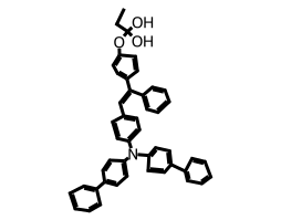 CCC(O)(O)Oc1ccc(/C(=C/c2ccc(N(c3ccc(-c4ccccc4)cc3)c3ccc(-c4ccccc4)cc3)cc2)c2ccccc2)cc1